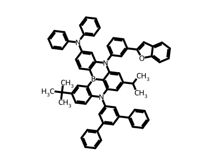 CC(C)c1cc2c3c(c1)N(c1cccc(-c4cc5ccccc5o4)c1)c1cc(N(c4ccccc4)c4ccccc4)ccc1B3c1cc(C(C)(C)C)ccc1N2c1cc(-c2ccccc2)cc(-c2ccccc2)c1